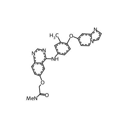 CNC(=O)COc1ccc2ncnc(Nc3ccc(Oc4ccn5ccnc5c4)c(C)c3)c2c1